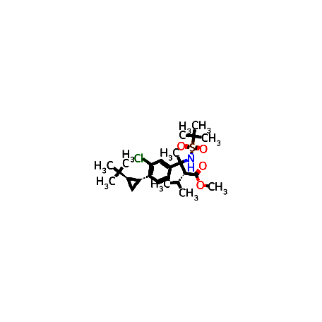 COC(=O)[C@H](C(C)C)C(C)(NS(=O)(=O)C(C)(C)C)c1ccc([C@@H]2C[C@H]2C(C)(C)C)c(Cl)c1